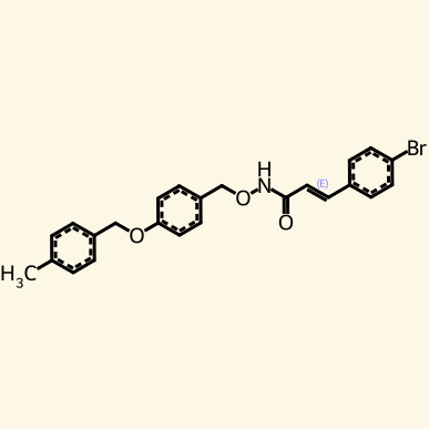 Cc1ccc(COc2ccc(CONC(=O)/C=C/c3ccc(Br)cc3)cc2)cc1